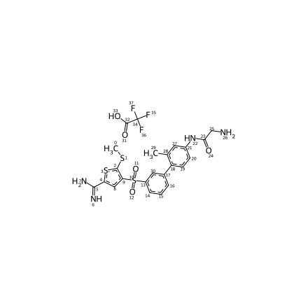 CSc1sc(C(=N)N)cc1S(=O)(=O)c1cccc(-c2ccc(NC(=O)CN)cc2C)c1.O=C(O)C(F)(F)F